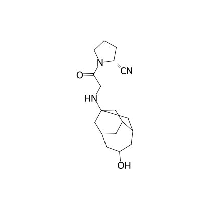 N#C[C@H]1CCCN1C(=O)CNC12CC3CC(O)CC(C1)C(C3)C2